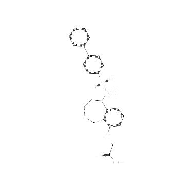 O=C(O)COc1cccc2c1CCCCC2NS(=O)(=O)c1ccc(-c2ccccc2)cc1